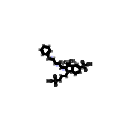 CC1(C)\C(=C/C=C/C=N/c2ccccc2)N(CCCS(=O)(=O)O)c2ccc(S(=O)(=O)O)cc21